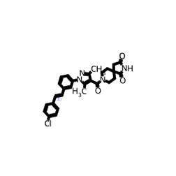 Cc1nn(-c2cccc(/C=C/c3ccc(Cl)cc3)c2)c(C)c1C(=O)N1CCC2(CC1)CC(=O)NC2=O